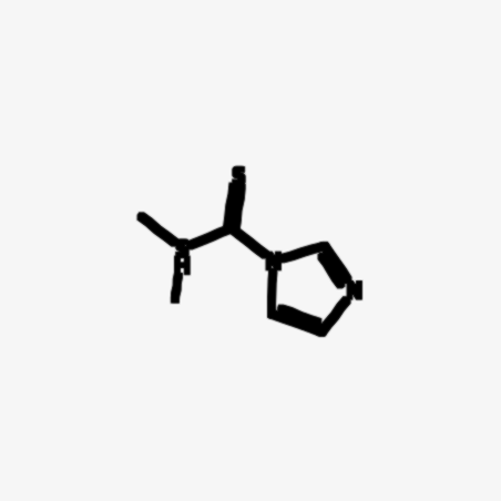 C[SH](C)C(=S)n1ccnc1